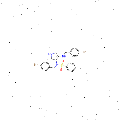 O=S(=O)(c1ccccc1)N(Cc1ccc(Br)cc1)[C@H]1CNC[C@@H]1NCc1ccc(Br)cc1